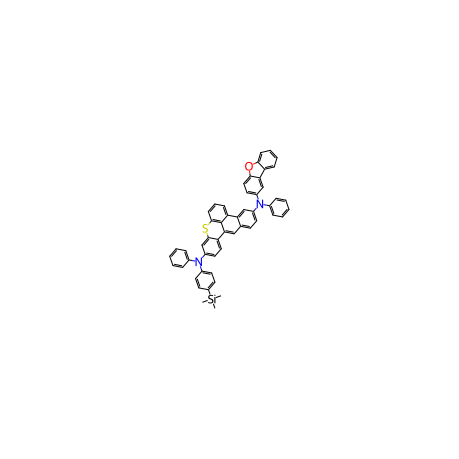 C[Si](C)(C)c1ccc(N(c2ccccc2)c2ccc3c(c2)Sc2cccc4c2c-3cc2ccc(N(c3ccccc3)c3ccc5oc6ccccc6c5c3)cc24)cc1